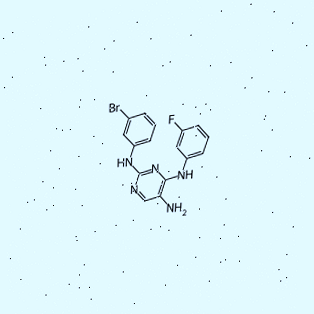 Nc1cnc(Nc2cccc(Br)c2)nc1Nc1cccc(F)c1